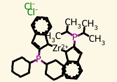 CC(C)P(C1=Cc2ccccc2[CH]1[Zr+2][CH]1C(P(C2CCCCC2)C2CCCCC2)=Cc2ccccc21)C(C)C.[Cl-].[Cl-]